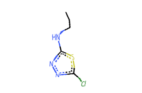 CCNc1nnc(Cl)s1